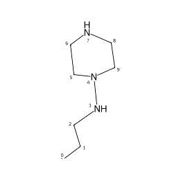 [CH2]CCNN1CCNCC1